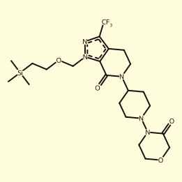 C[Si](C)(C)CCOCn1nc(C(F)(F)F)c2c1C(=O)N(C1CCN(N3CCOCC3=O)CC1)CC2